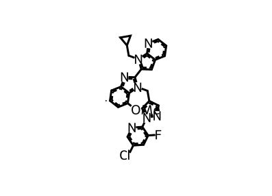 COc1c[c]cc2nc(-c3cc4cccnc4n3CC3CC3)n(Cc3cnn(-c4ncc(Cl)cc4F)c3)c12